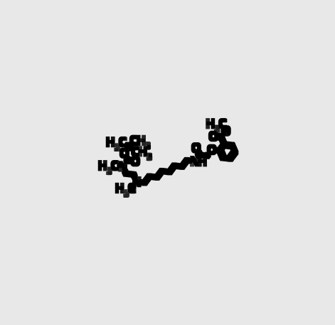 COC(=O)c1ccccc1OCC(=O)NCCCCCCCCN(C)CCN(C)C(=O)OC(C)(C)C